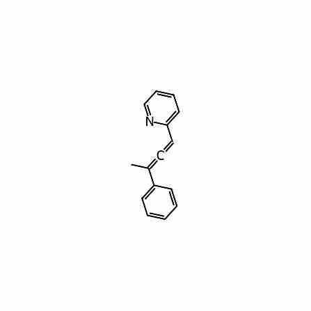 CC(=C=Cc1ccccn1)c1ccccc1